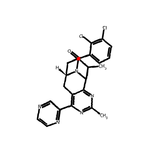 Cc1nc(-c2cnccn2)c2c(n1)C1C(C)CC[C@@H](C2)N1C(=O)c1cccc(Cl)c1Cl